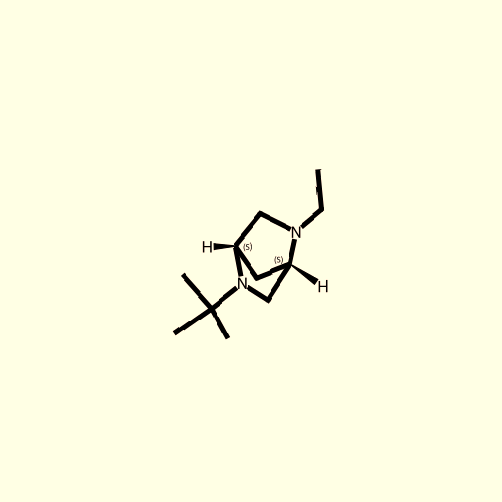 CCN1C[C@@H]2C[C@H]1CN2C(C)(C)C